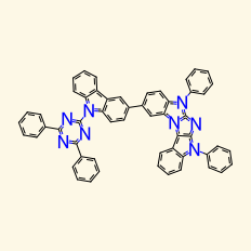 c1ccc(-c2nc(-c3ccccc3)nc(-n3c4ccccc4c4cc(-c5ccc6c(c5)n5c7c8ccccc8n(-c8ccccc8)c7nc5n6-c5ccccc5)ccc43)n2)cc1